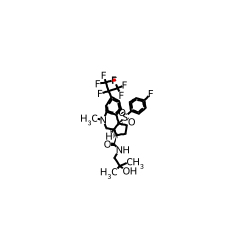 CN1C[C@H]2[C@H](C(=O)NCC(C)(C)O)CC[C@@]2(S(=O)(=O)c2ccc(F)cc2)c2ccc(C(F)(C(F)(F)F)C(F)(F)F)cc21